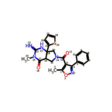 Cc1onc(-c2ccccc2)c1C(=O)N1CC2C(=O)N(C)C(=N)NC2(c2cccs2)C1